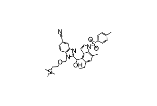 CCc1cc(C)c2c(ccn2S(=O)(=O)c2ccc(C)cc2)c1C(O)c1nc2cc(C#N)ccc2n1COCC[Si](C)(C)C